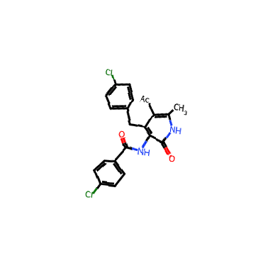 CC(=O)c1c(C)[nH]c(=O)c(NC(=O)c2ccc(Cl)cc2)c1Cc1ccc(Cl)cc1